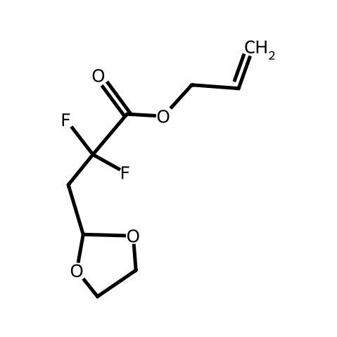 C=CCOC(=O)C(F)(F)CC1OCCO1